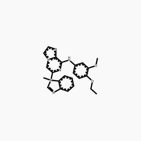 CCOc1ccc(Nc2nc([N+]3(C)C=Nc4ccccc43)cn3ccnc23)cc1OC